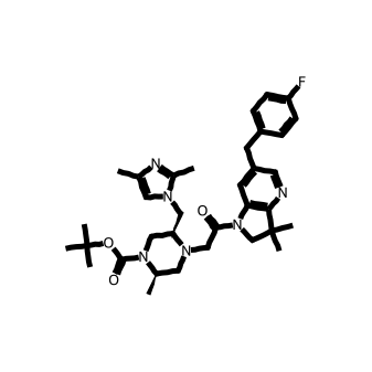 Cc1cn(C[C@@H]2CN(C(=O)OC(C)(C)C)[C@H](C)CN2CC(=O)N2CC(C)(C)c3ncc(Cc4ccc(F)cc4)cc32)c(C)n1